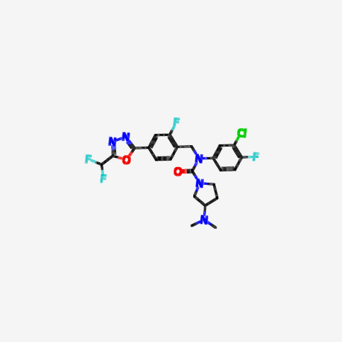 CN(C)C1CCN(C(=O)N(Cc2ccc(-c3nnc(C(F)F)o3)cc2F)c2ccc(F)c(Cl)c2)C1